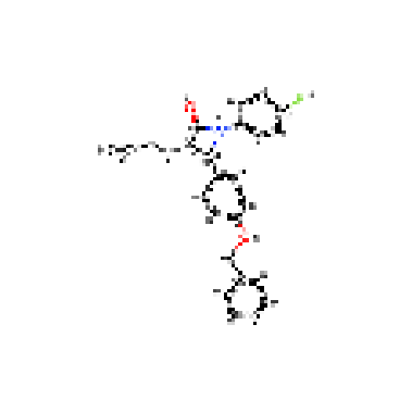 O=C(O)CC[C@@H]1C(=O)N(c2ccc(F)cc2)[C@H]1c1ccc(OCc2ccccc2)cc1